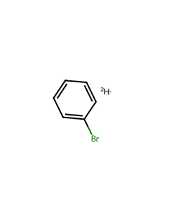 Brc1ccccc1.[2H]